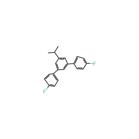 CC(C)c1cc(-c2ccc(F)cc2)cc(-c2ccc(F)cc2)c1